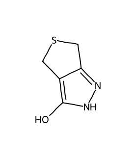 Oc1[nH]nc2c1CSC2